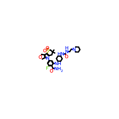 CC1(C)Cc2c(c3c(n2-c2cc(F)c(C(N)=O)c(N[C@H]4CC[C@H](NC(=O)NCCN5CCCCC5)CC4)c2)COC3)S(=O)(=O)C1